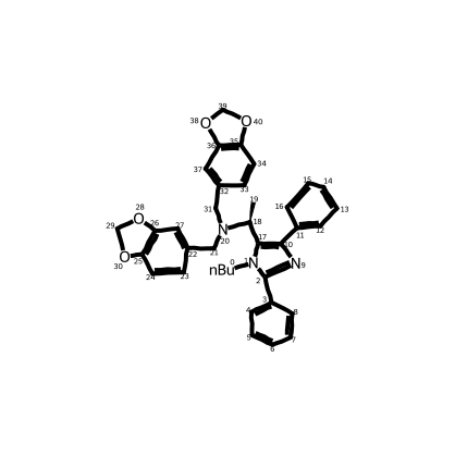 CCCCn1c(-c2ccccc2)nc(-c2ccccc2)c1[C@H](C)N(Cc1ccc2c(c1)OCO2)Cc1ccc2c(c1)OCO2